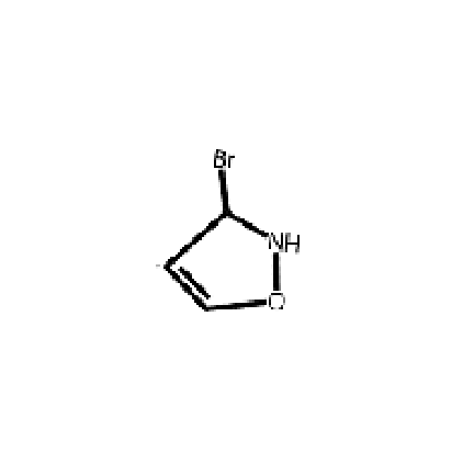 BrC1[C]=CON1